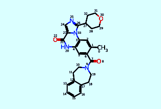 Cc1cc2c(cc1C(=O)N1CCc3ccccc3CC1)[nH]c(=O)c1cnc(C3CCOCC3)n12